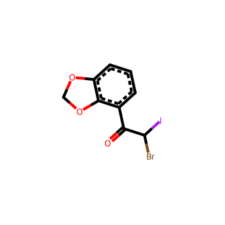 O=C(c1cccc2c1OCO2)C(Br)I